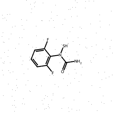 NC(=O)N(S)c1c(F)cccc1F